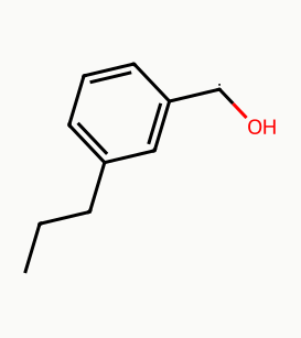 CCCc1cccc([CH]O)c1